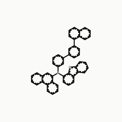 c1cc(-c2cccc(N(c3cc4ccccc4c4ccccc34)c3cccc4c3oc3ccccc34)c2)cc(-c2cccc3ccccc23)c1